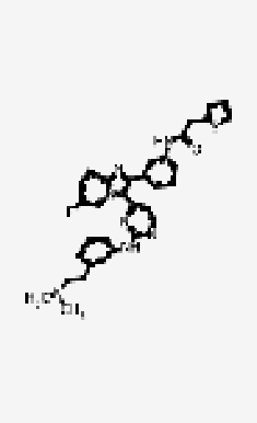 CN(C)CCc1cccc(Nc2nccc(-c3c(-c4cccc(NC(=O)Cc5cccs5)c4)nc4ccc(F)cn34)n2)c1